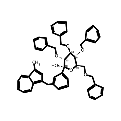 Cc1cc(Cc2cccc([C@]3(O)O[C@H](COCc4ccccc4)[C@@H](OCc4ccccc4)[C@H](OCc4ccccc4)[C@H]3OCc3ccccc3)c2)c2cccccc1-2